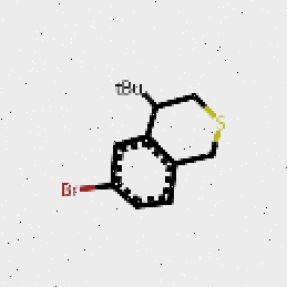 CC(C)(C)C1CSCc2ccc(Br)cc21